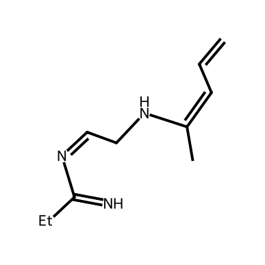 C=C/C=C(/C)NC/C=N\C(=N)CC